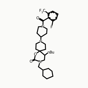 CCCCC1CN(CC2CCCCC2)C(=O)OC12CCN(C1CCN(C(=O)c3c(F)cccc3C(F)(F)F)CC1)CC2